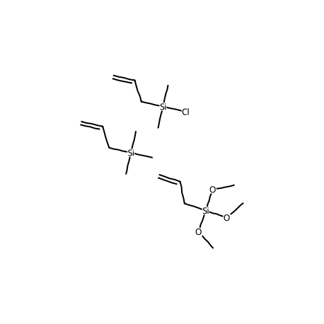 C=CC[Si](C)(C)C.C=CC[Si](C)(C)Cl.C=CC[Si](OC)(OC)OC